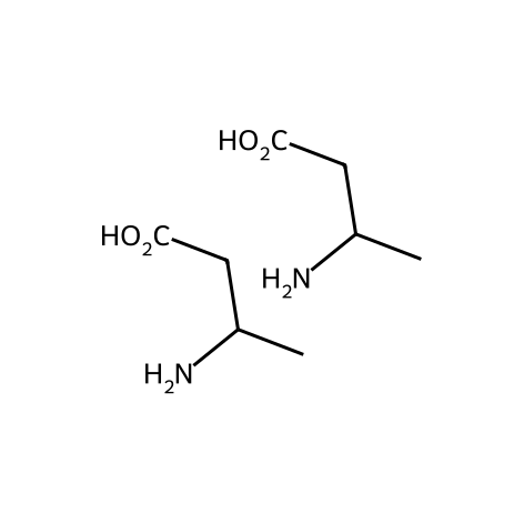 CC(N)CC(=O)O.CC(N)CC(=O)O